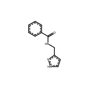 O=C(NCc1cc[nH]n1)c1ccccc1